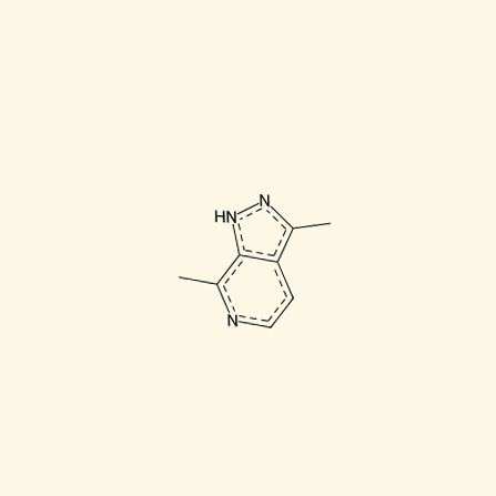 Cc1n[nH]c2c(C)nccc12